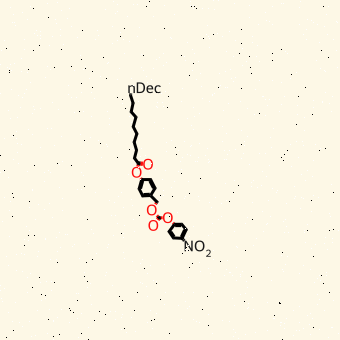 CCCCCCCCCCCCCCCCCCCC(=O)Oc1ccc(COC(=O)Oc2ccc([N+](=O)[O-])cc2)cc1